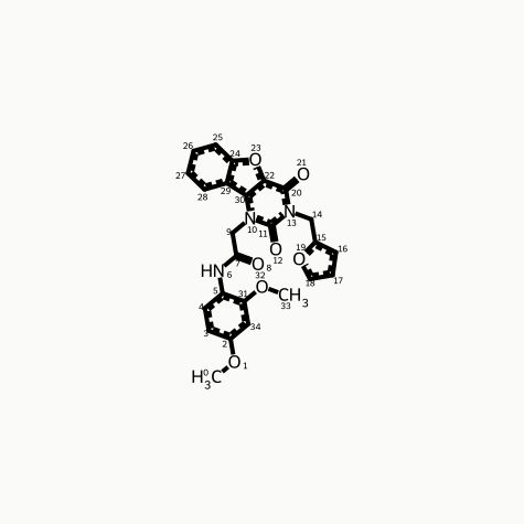 COc1ccc(NC(=O)Cn2c(=O)n(Cc3ccco3)c(=O)c3oc4ccccc4c32)c(OC)c1